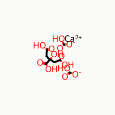 O=C(O)CC(O)(CC(=O)O)C(=O)O.O=C([O-])O.O=C([O-])O.[Ca+2]